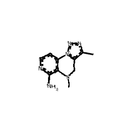 Cc1nnn2c1CN(C)c1c-2ccnc1N